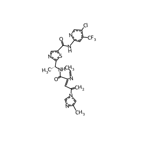 C=C(/C=C(\N=C/C)C(=O)N[C@H](C)c1ncc(C(=O)Nc2cc(C(F)(F)F)c(Cl)cn2)s1)n1cnc(C)c1